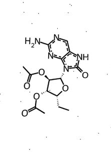 CC[C@H]1O[C@@H](n2c(=O)[nH]c3cnc(N)nc32)[C@H](OC(C)=O)[C@H]1OC(C)=O